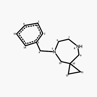 c1ccc(CN2CCNCC3(CC3)C2)cc1